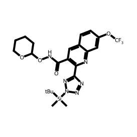 CC(C)(C)[Si](C)(C)n1nnc(-c2nc3cc(OC(F)(F)F)ccc3cc2C(=O)NOC2CCCCO2)n1